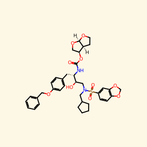 O=C(N[C@@H](Cc1ccc(OCc2ccccc2)cc1)[C@H](O)CN(CC1CCCC1)S(=O)(=O)c1ccc2c(c1)OCO2)O[C@H]1CO[C@H]2OCC[C@H]21